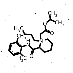 CCCC[N+]1(CC(=O)OC(C)C)CCCCC1C(=O)Nc1c(C)cccc1C